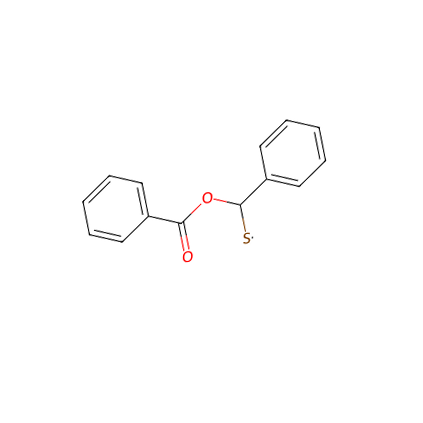 O=C(OC([S])c1ccccc1)c1ccccc1